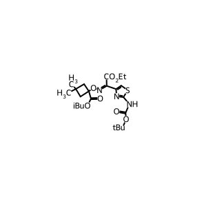 CCOC(=O)/C(=N\OC1(C(=O)OCC(C)C)CC(C)(C)C1)c1csc(NC(=O)OC(C)(C)C)n1